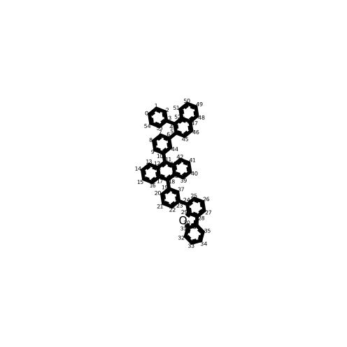 c1ccc(-c2c(-c3cccc(-c4c5ccccc5c(-c5cccc(-c6cccc7c6oc6ccccc67)c5)c5ccccc45)c3)ccc3ccccc23)cc1